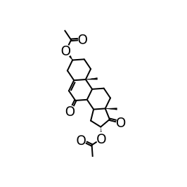 CC(=O)O[C@H]1CC[C@@]2(C)C(=CC(=O)C3C2CC[C@]2(C)C(=O)[C@H](OC(C)=O)CC32)C1